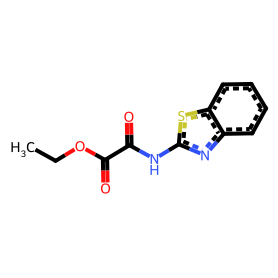 CCOC(=O)C(=O)Nc1nc2ccccc2s1